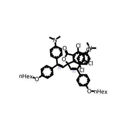 CCCCCCOc1ccc(/C(=C/C2(/C=C(/c3ccc(OCCCCCC)cc3)c3ccc(N(C)C)cc3)OC(=O)c3c(Cl)c(Cl)c(Cl)c(Cl)c32)c2ccc(N(C)C)cc2)cc1